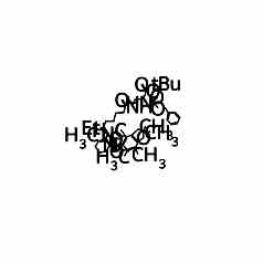 CC/C(CCCCC(=O)NCC(NC(=O)OCc1ccccc1)C(=O)OC(C)(C)C)=N\C1=C(C)CCCN1S(=O)(=O)c1c(C)c(C)c2c(c1C)CC(C)(C)O2